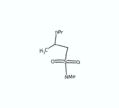 CCCC(C)CS(=O)(=O)[N]C